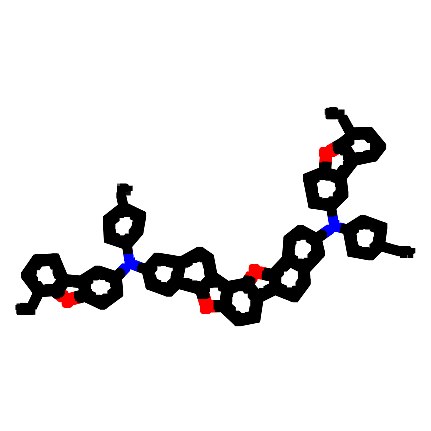 CC(C)c1ccc(N(c2ccc3c(ccc4c5ccc6oc7c8ccc(N(c9ccc(C(C)C)cc9)c9ccc%10oc%11c(C(C)(C)C)cccc%11c%10c9)cc8ccc7c6c5oc34)c2)c2ccc3oc4c(C(C)(C)C)cccc4c3c2)cc1